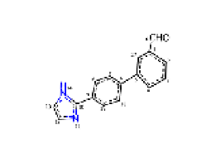 O=Cc1cccc(-c2ccc(-c3ncc[nH]3)cc2)c1